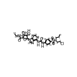 CCCN(CCCl)S(=O)(=O)c1ccc(NC(=O)Nc2ncnc3c2ncn3[C@@H]2O[C@H](C(=O)NCC)[C@@H](O)[C@H]2O)cc1